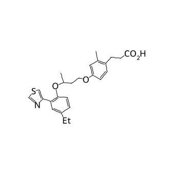 CCc1ccc(OC(C)CCOc2ccc(CCC(=O)O)c(C)c2)c(-c2cscn2)c1